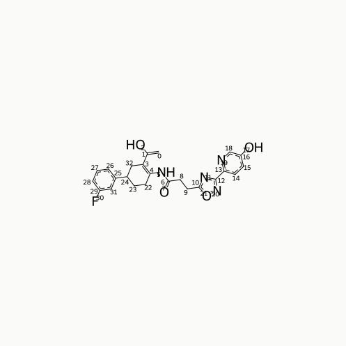 C=C(O)C1=C(NC(=O)CCc2nc(-c3ccc(O)cn3)no2)CCC(c2cccc(F)c2)C1